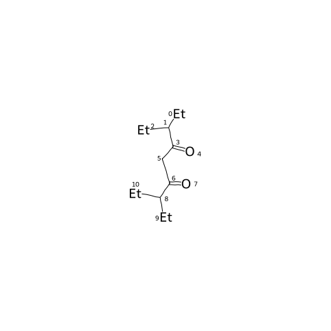 [CH2]CC(CC)C(=O)CC(=O)C(CC)CC